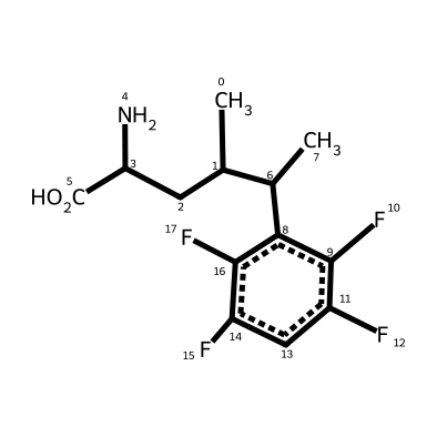 CC(CC(N)C(=O)O)C(C)c1c(F)c(F)cc(F)c1F